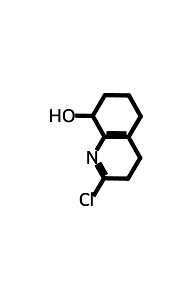 OC1CCCC2=C1N=C(Cl)CC2